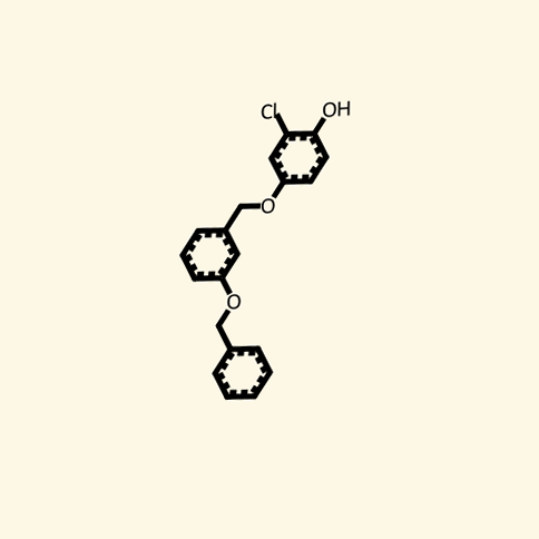 Oc1ccc(OCc2cccc(OCc3ccccc3)c2)cc1Cl